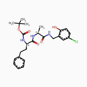 C[C@H](NC(=O)[C@@H](CCc1ccccc1)NC(=O)OC(C)(C)C)C(=O)NCc1cc(Cl)ccc1O